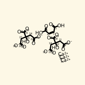 O=C(O)/C=C\C(=O)O.O=C([O-])CC(O)(CC(=O)[O-])C(=O)[O-].O=C([O-])CC(O)(CC(=O)[O-])C(=O)[O-].[Ca+2].[Ca+2].[Ca+2]